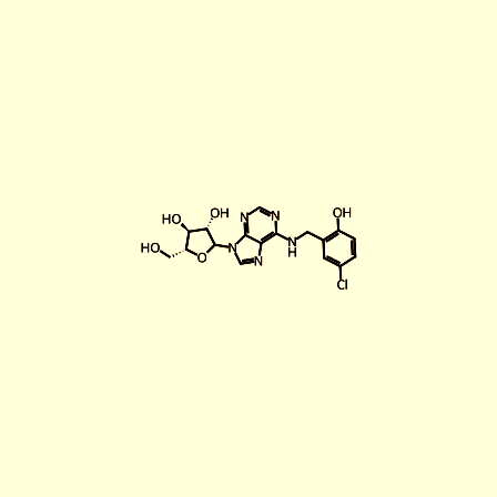 OC[C@H]1OC(n2cnc3c(NCc4cc(Cl)ccc4O)ncnc32)[C@@H](O)[C@@H]1O